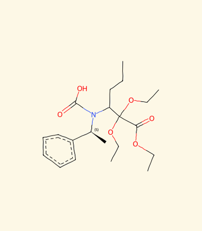 CCCC(N(C(=O)O)[C@@H](C)c1ccccc1)C(OCC)(OCC)C(=O)OCC